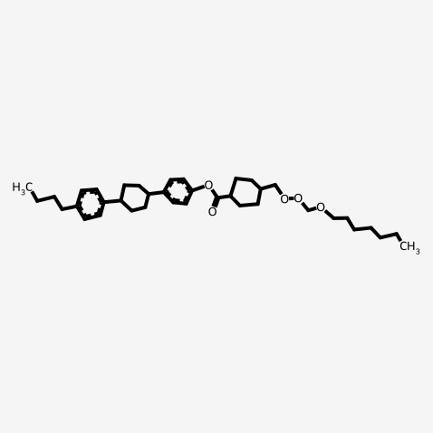 CCCCCCCOCOOCC1CCC(C(=O)Oc2ccc(C3CCC(c4ccc(CCCC)cc4)CC3)cc2)CC1